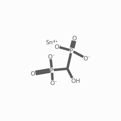 O=P([O-])([O-])C(O)P(=O)([O-])[O-].[Sn+4]